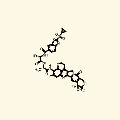 CC[C@@]1(O)C(=O)OCc2c1cc1n(c2=O)Cc2c-1nc1cc(F)c(NC(=O)[C@H](C)NC(=O)[C@@H](NC(=O)c3ccc4nc(S(=O)(=O)C5CC5)sc4c3)C(C)C)c3c1c2CCO3